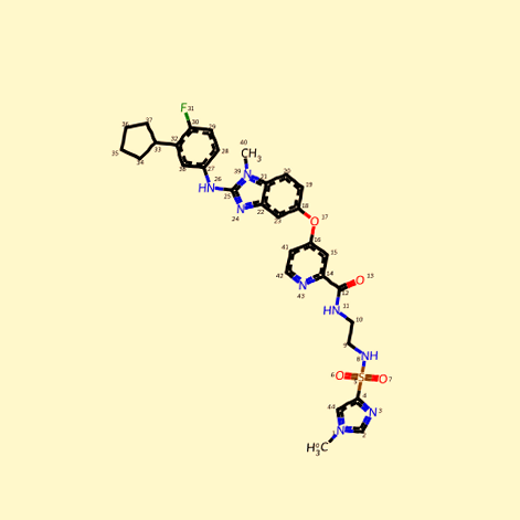 Cn1cnc(S(=O)(=O)NCCNC(=O)c2cc(Oc3ccc4c(c3)nc(Nc3ccc(F)c(C5CCCC5)c3)n4C)ccn2)c1